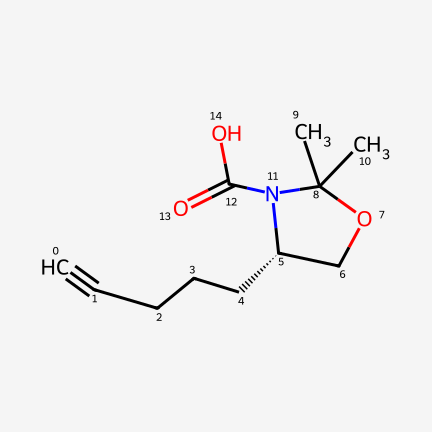 C#CCCC[C@H]1COC(C)(C)N1C(=O)O